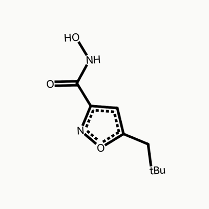 CC(C)(C)Cc1cc(C(=O)NO)no1